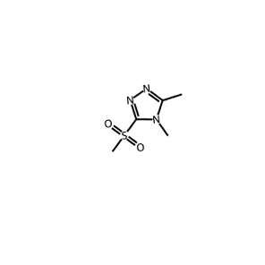 Cc1nnc(S(C)(=O)=O)n1C